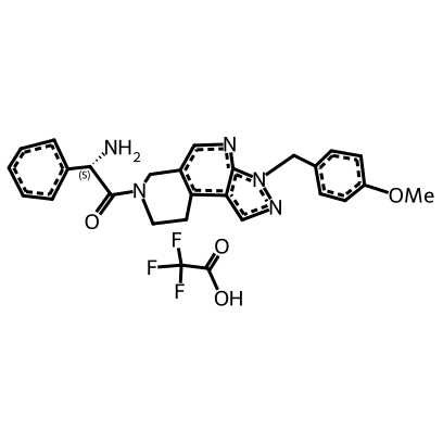 COc1ccc(Cn2ncc3c4c(cnc32)CN(C(=O)[C@@H](N)c2ccccc2)CC4)cc1.O=C(O)C(F)(F)F